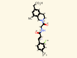 N#Cc1cc(CC(=O)O)cc2c1CN(C(=O)CNC(=O)/C=C/c1ccc(C(F)(F)F)cc1F)CC2